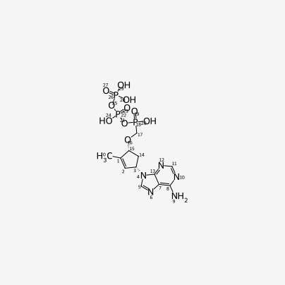 CC1=C[C@@H](n2cnc3c(N)ncnc32)C[C@H]1OCP(=O)(O)OP(=O)(O)OP(=O)(O)O